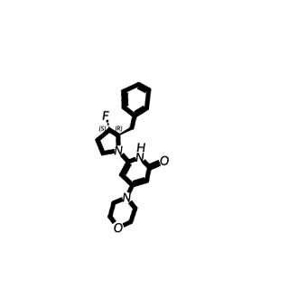 O=c1cc(N2CCOCC2)cc(N2CC[C@H](F)[C@H]2Cc2ccccc2)[nH]1